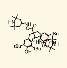 CC1(C)CC(NOC(=O)C(Cc2cc(C(C)(C)C)c(O)c(C(C)(C)C)c2)(Cc2cc(C(C)(C)C)c(O)c(C(C)(C)C)c2)C(=O)ONC2CC(C)(C)NC(C)(C)C2)CC(C)(C)N1